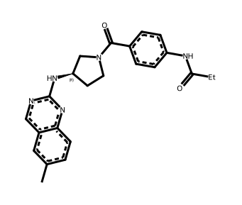 CCC(=O)Nc1ccc(C(=O)N2CC[C@@H](Nc3ncc4cc(C)ccc4n3)C2)cc1